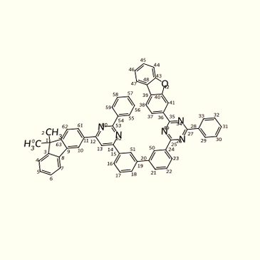 CC1(C)c2ccccc2-c2cc(-c3cc(-c4cccc(-c5cccc(-c6nc(-c7ccccc7)nc(-c7ccc8c(c7)oc7ccccc78)n6)c5)c4)nc(-c4ccccc4)n3)ccc21